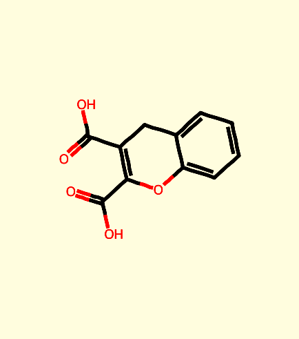 O=C(O)C1=C(C(=O)O)Oc2ccccc2C1